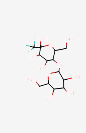 OCC1OC(OC2C(CO)OC(O)(C(F)(F)F)C(O)C2O)C(O)C(O)C1O